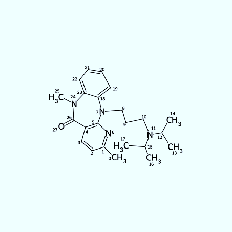 Cc1ccc2c(n1)N(CCCN(C(C)C)C(C)C)c1ccccc1N(C)C2=O